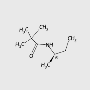 CC[C@@H](C)NC(=O)C(C)(C)C